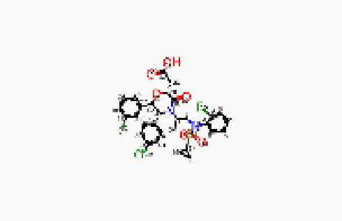 C[C@H](CN(c1ccccc1F)S(=O)(=O)C1CC1)N1C(=O)[C@@H](CC(=O)O)O[C@H](c2cccc(Cl)c2)[C@H]1c1ccc(Cl)cc1